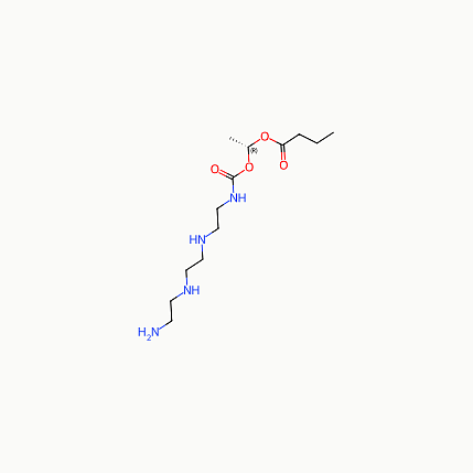 CCCC(=O)O[C@@H](C)OC(=O)NCCNCCNCCN